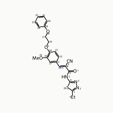 CCc1nnc(NC(=O)/C(C#N)=C/c2ccc(OCCOc3ccccc3)c(OC)c2)s1